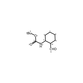 CC(C)(C)OC(=O)NC1CCCCC1C=O